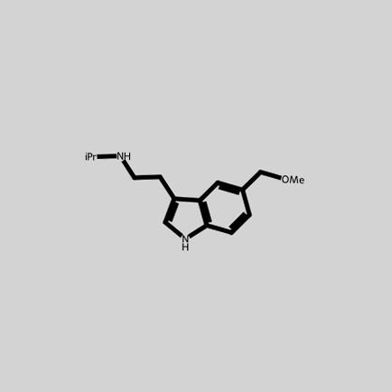 COCc1ccc2[nH]cc(CCNC(C)C)c2c1